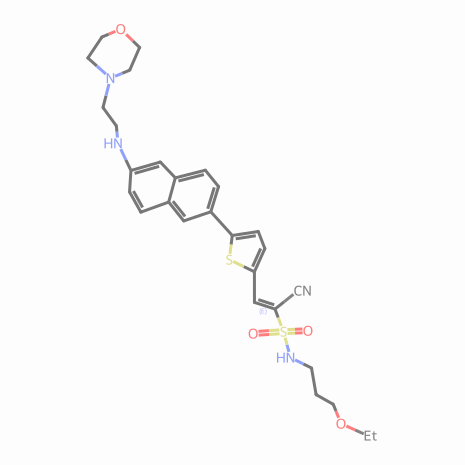 CCOCCCNS(=O)(=O)/C(C#N)=C/c1ccc(-c2ccc3cc(NCCN4CCOCC4)ccc3c2)s1